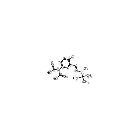 CC(C)(C)[S@@+]([O-])N=Cc1nc(N(C(=O)O)C(=O)O)ccc1Cl